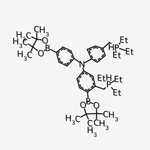 CC[PH](CC)(CC)Cc1ccc(N(c2ccc(B3OC(C)(C)C(C)(C)O3)cc2)c2ccc(B3OC(C)(C)C(C)(C)O3)c(C[PH](CC)(CC)CC)c2)cc1